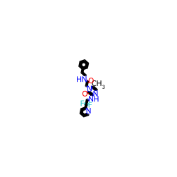 Cc1cnc(NCC(F)(F)c2ccccn2)c(=O)n1CC(=O)NCCc1ccccc1